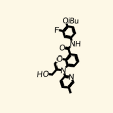 Cc1ccc(N2c3cccc(C(=O)Nc4ccc(OCC(C)C)c(F)c4)c3OCC2CO)nc1